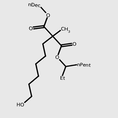 CCCCCCCCCCOC(=O)C(C)(CCCCCCO)C(=O)OC(CC)CCCCC